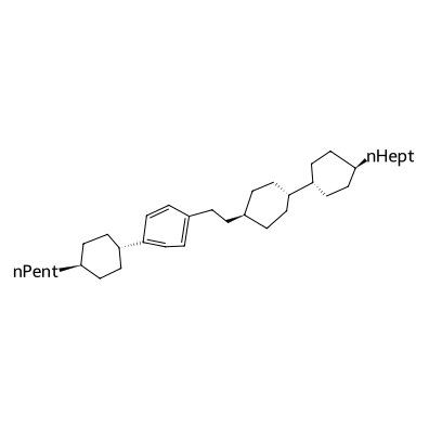 CCCCCCC[C@H]1CC[C@H]([C@H]2CC[C@H](CCc3ccc([C@H]4CC[C@H](CCCCC)CC4)cc3)CC2)CC1